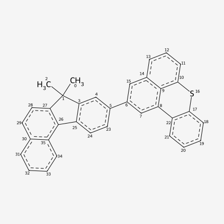 CC1(C)c2cc(-c3cc4c5c(cccc5c3)Sc3ccccc3-4)ccc2-c2c1ccc1ccccc21